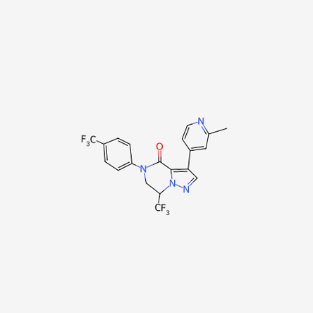 Cc1cc(-c2cnn3c2C(=O)N(c2ccc(C(F)(F)F)cc2)CC3C(F)(F)F)ccn1